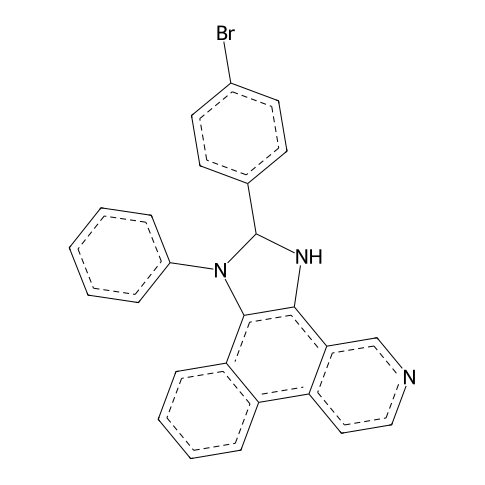 Brc1ccc(C2Nc3c(c4ccccc4c4ccncc34)N2c2ccccc2)cc1